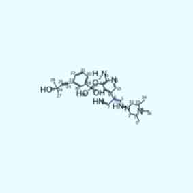 CC1CN(N/C=C(\C=N)c2cnc(N)c(OC(O)(O)c3cccc(C#CC(C)(C)O)c3)c2)CC(C)N1C